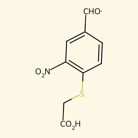 O=[C]c1ccc(SCC(=O)O)c([N+](=O)[O-])c1